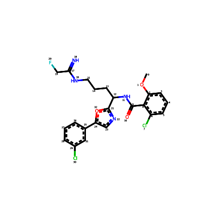 COc1cccc(Cl)c1C(=O)NC(CCCNC(=N)CF)c1ncc(-c2cccc(Cl)c2)o1